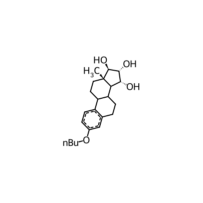 CCCCOc1ccc2c(c1)CCC1C2CC[C@@]2(C)C1[C@@H](O)[C@@H](O)[C@@H]2O